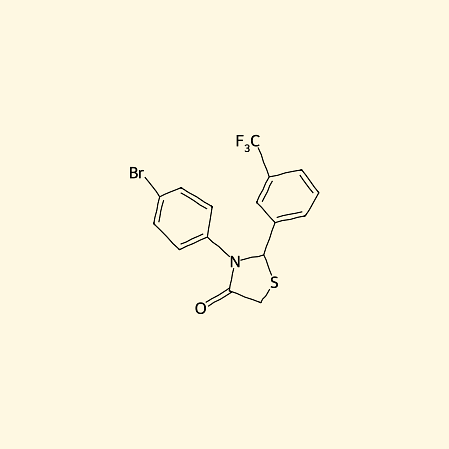 O=C1CSC(c2cccc(C(F)(F)F)c2)N1c1ccc(Br)cc1